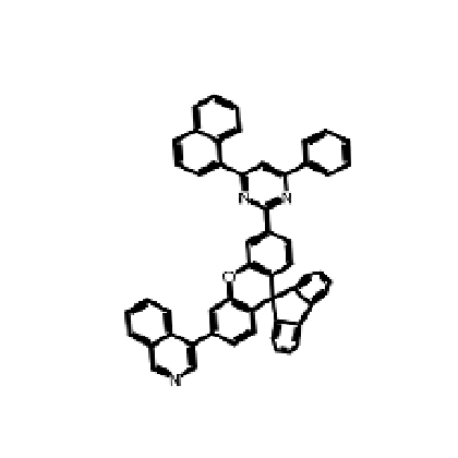 c1ccc(-c2cc(-c3cccc4ccccc34)nc(-c3ccc4c(c3)Oc3cc(-c5cncc6ccccc56)ccc3C43c4ccccc4-c4ccccc43)n2)cc1